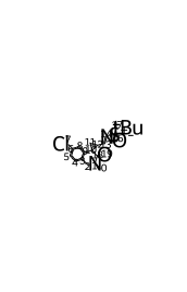 CN1Cc2ccc(Cl)cc2C2(CC2C=N[S+]([O-])C(C)(C)C)C1=O